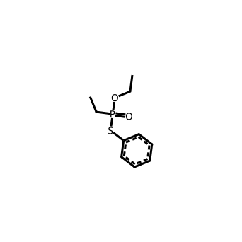 CCOP(=O)(CC)Sc1ccccc1